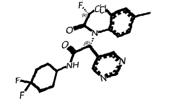 Cc1ccc(N(C(=O)[C@H](F)Cl)[C@@H](C(=O)NC2CCC(F)(F)CC2)c2cncnc2)c(Cl)c1